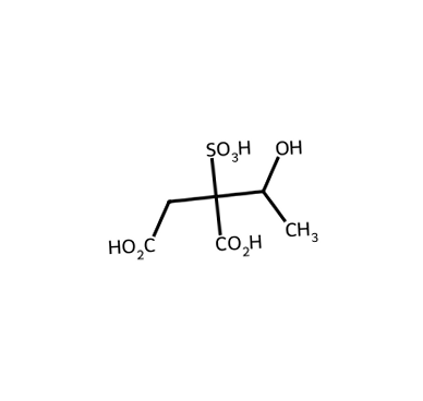 CC(O)C(CC(=O)O)(C(=O)O)S(=O)(=O)O